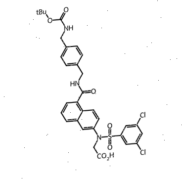 CC(C)(C)OC(=O)NCc1ccc(CNC(=O)c2cccc3cc(N(CC(=O)O)S(=O)(=O)c4cc(Cl)cc(Cl)c4)ccc23)cc1